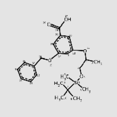 CC(CO[Si](C)(C)C(C)(C)C)Oc1cc(OCc2ccccc2)cc(C(=O)O)c1